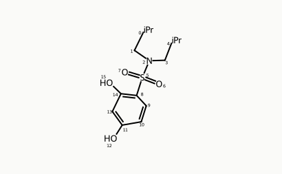 CC(C)CN(CC(C)C)S(=O)(=O)c1ccc(O)cc1O